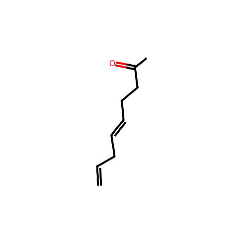 C=CCC=CCCC(C)=O